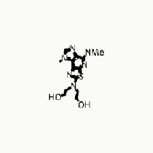 CNc1nc2sc(N(CCO)CCO)nc2c2c1ncn2C